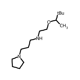 CC(OCCNCCCN1CCCC1)C(C)(C)C